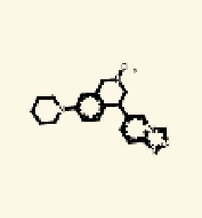 CN1Cc2cc(N3CCCCC3)ccc2C(c2ccc3nncn3c2)C1